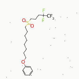 O=S(=O)(CCCCCCCCOc1cc[c]cc1)CCCC(F)(F)C(F)(F)F